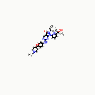 C=CCn1c(=O)c2cnc(Nc3ccc(C4(O)CCN(C)CC4)cc3)nc2n1-c1cccc(C(C)(C)O)n1